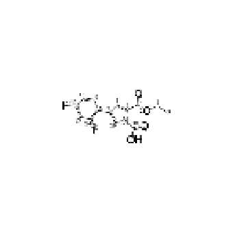 CCOC(=O)c1cc(-c2ccc(F)cc2F)cn1C(=O)O